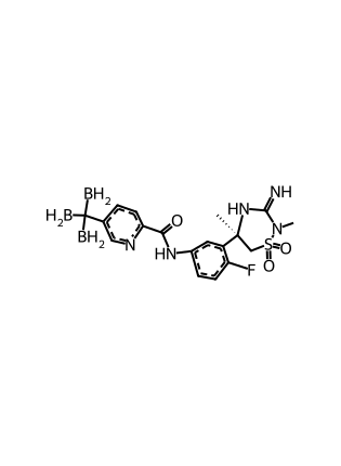 BC(B)(B)c1ccc(C(=O)Nc2ccc(F)c([C@]3(C)CS(=O)(=O)N(C)C(=N)N3)c2)nc1